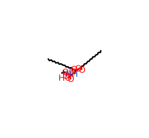 CCCCCCCCCCCCCCCC(=O)OC[C@H](CSCC(NC(=O)OC(C)(C)C)C(=O)O)OC(=O)CCCCCCCCCCCCCCC